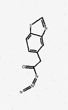 [N-]=[N+]=NC(=O)Cc1ccc2scnc2c1